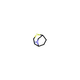 C1CC2CCC(CN2)S1